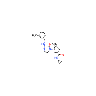 Cc1cccc(CNc2nccn(-c3cc(C(=O)NC4CC4)ccc3C)c2=O)c1